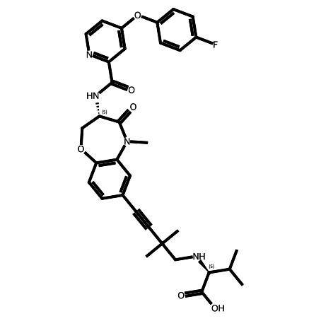 CC(C)[C@H](NCC(C)(C)C#Cc1ccc2c(c1)N(C)C(=O)[C@@H](NC(=O)c1cc(Oc3ccc(F)cc3)ccn1)CO2)C(=O)O